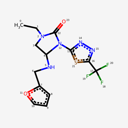 CCN1CC(NCc2ccco2)N(c2nnc(C(F)(F)F)s2)C1=O